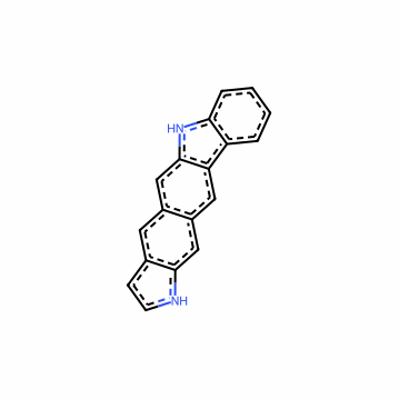 c1ccc2c(c1)[nH]c1cc3cc4cc[nH]c4cc3cc12